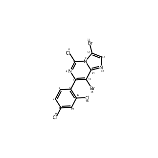 Clc1ccc(-c2nc(Cl)n3c(Br)cnc3c2Br)c(Cl)c1